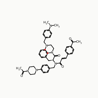 CC(=O)c1ccc(C=CC(=O)N(Cc2ccc(N3CCN(C(C)=O)CC3)cc2)[C@@H](Cc2ccccc2)C(=O)N2CCN(Cc3ccc(N(C)C)cc3)CC2)cc1